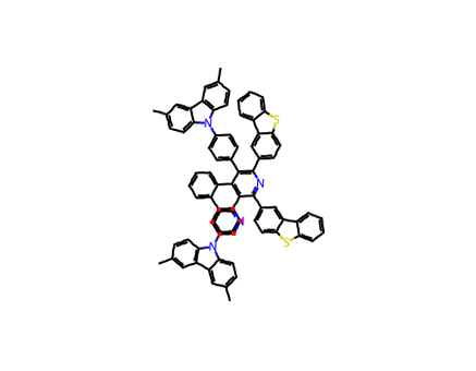 Cc1ccc2c(c1)c1cc(C)ccc1n2-c1ccc(-c2c(-c3ccc4sc5ccccc5c4c3)nc(-c3ccc4sc5ccccc5c4c3)c(-c3ccc(-n4c5ccc(C)cc5c5cc(C)ccc54)cc3)c2-c2ccccc2-c2cccnc2)cc1